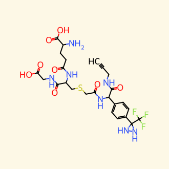 C#CCNC(=O)C(NC(=O)CSCC(NC(=O)CCC(N)C(=O)O)C(=O)NCC(=O)O)c1ccc(C2(C(F)(F)F)NN2)cc1